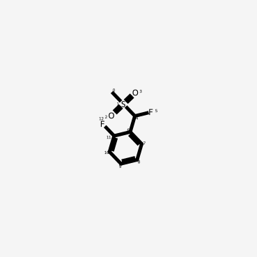 CS(=O)(=O)C(F)c1ccccc1F